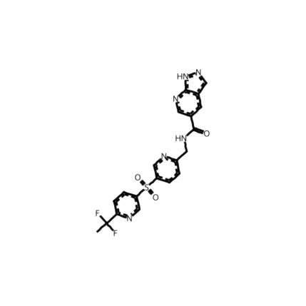 CC(F)(F)c1ccc(S(=O)(=O)c2ccc(CNC(=O)c3cnc4[nH]ncc4c3)nc2)cn1